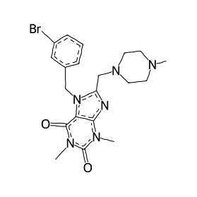 CN1CCN(Cc2nc3c(c(=O)n(C)c(=O)n3C)n2Cc2cccc(Br)c2)CC1